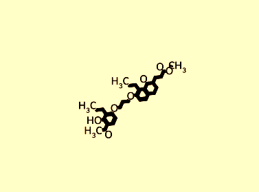 CCCc1c(OCCCOc2ccc3c(c2CCC)C(=O)C(CCC(=O)OC)CC3)ccc(C(C)=O)c1O